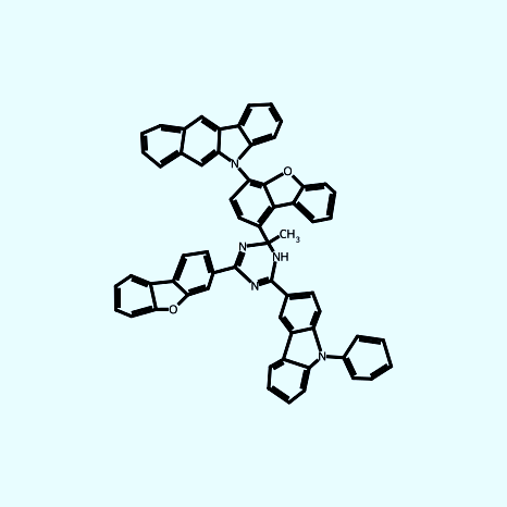 CC1(c2ccc(-n3c4ccccc4c4cc5ccccc5cc43)c3oc4ccccc4c23)N=C(c2ccc3c(c2)oc2ccccc23)N=C(c2ccc3c(c2)c2ccccc2n3-c2ccccc2)N1